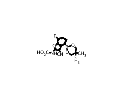 CC1(C)COB(c2ccc(F)c3oc(NC(=O)O)c(C#N)c23)OC1